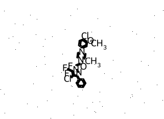 COc1cc(N2CCN(C(=O)Cn3nc(-c4ccccc4)c(Cl)c3C(F)(F)F)C(C)C2)ccc1Cl